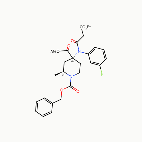 CCOC(=O)CC(=O)N(c1cccc(F)c1)[C@]1(C(=O)OC)CCN(C(=O)OCc2ccccc2)[C@@H](C)C1